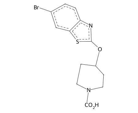 O=C(O)N1CCC(Oc2nc3ccc(Br)cc3s2)CC1